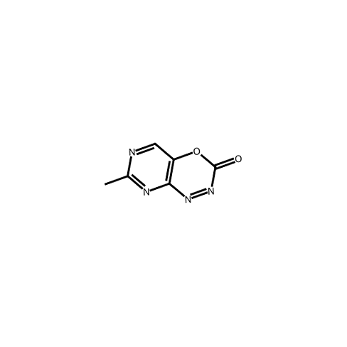 Cc1ncc2oc(=O)nnc2n1